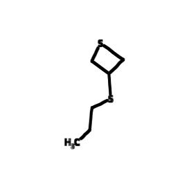 CCCSC1CSC1